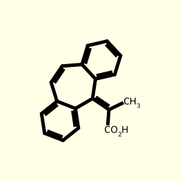 CC(C(=O)O)=C1c2ccccc2C=Cc2ccccc21